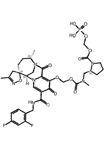 CC1=NO[C@@]2(CC[C@H](C)N3C[C@H]2n2cc(C(=O)NCc4ccc(F)cc4F)c(=O)c(OCOC(=O)N(C)C[C@@H]4CCCN4C(=O)OCOP(=O)(O)O)c2C3=O)C1